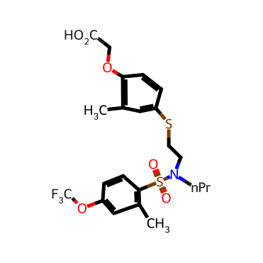 CCCN(CCSc1ccc(OCC(=O)O)c(C)c1)S(=O)(=O)c1ccc(OC(F)(F)F)cc1C